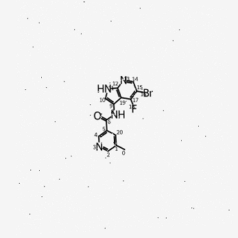 Cc1cncc(C(=O)Nc2c[nH]c3ncc(Br)c(F)c23)c1